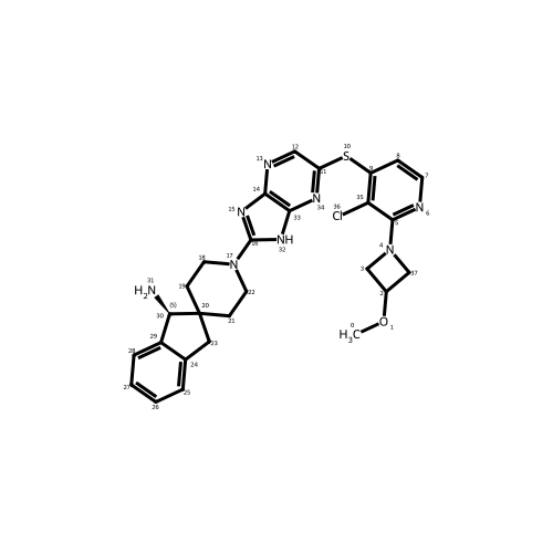 COC1CN(c2nccc(Sc3cnc4nc(N5CCC6(CC5)Cc5ccccc5[C@H]6N)[nH]c4n3)c2Cl)C1